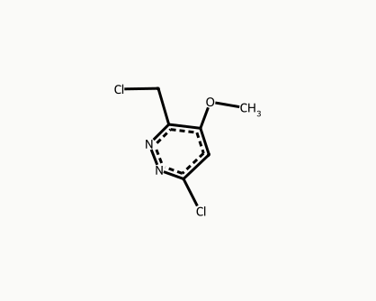 COc1cc(Cl)nnc1CCl